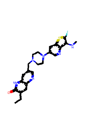 CCc1cc2ncc(CN3CCN(c4cnc5c(NC)c(F)sc5c4)CC3)cc2[nH]c1=O